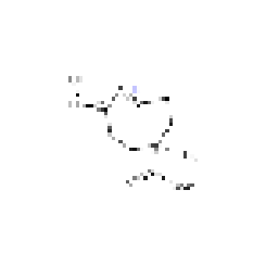 BB[C@H]1/C=C/CC[C@@](C)(C(=O)OC)CC1